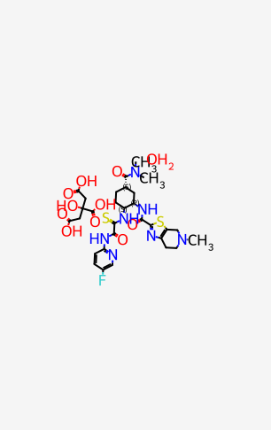 CN1CCc2nc(C(=O)N[C@@H]3C[C@@H](C(=O)N(C)C)CC[C@@H]3NC(=S)C(=O)Nc3ccc(F)cn3)sc2C1.O.O=C(O)CC(O)(CC(=O)O)C(=O)O